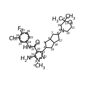 Cn1nc(C2CC3CC(N4CCOC(C)(C)C4)CC3C2)c(C(=O)Nc2ccc(F)c(Cl)c2)c1N